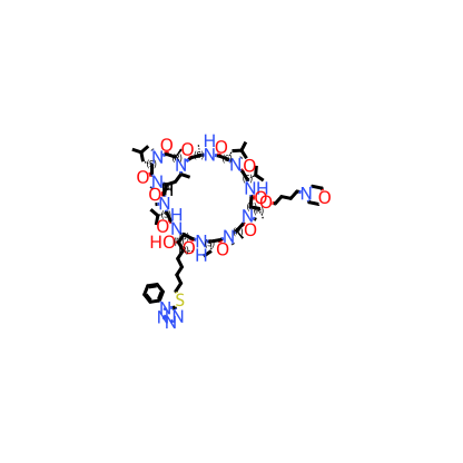 CC[C@@H]1NC(=O)[C@H]([C@H](O)[C@H](C)CCCCCSc2nnnn2-c2ccccc2)NC(=O)[C@H](C(C)C)N(C)C(=O)[C@@H]2CC(C)N(C(=O)[C@H](C)NC(=O)[C@H](CC(C)C)N(C)C(=O)[C@H](C(C)C)NC(=O)[C@H]([C@@H](C)OCCCCN3CCOCC3)N(C)C(=O)[C@@H](C)N(C)C1=O)[C@H](C)C(=O)N(C)[C@@H](CC(C)C)C(=O)N2C